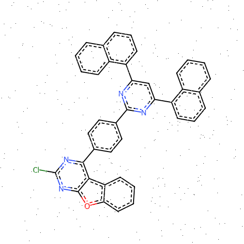 Clc1nc(-c2ccc(-c3nc(-c4cccc5ccccc45)cc(-c4cccc5ccccc45)n3)cc2)c2c(n1)oc1ccccc12